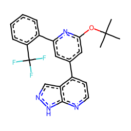 CC(C)(C)Oc1cc(-c2ccnc3[nH]ncc23)cc(-c2ccccc2C(F)(F)F)n1